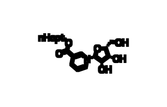 CCCCCCCOC(=O)C1=CN([C@@H]2O[C@H](CO)[C@H](O)[C@@H]2O)C=CC1